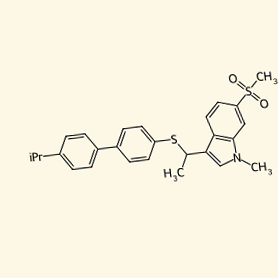 CC(C)c1ccc(-c2ccc(SC(C)c3cn(C)c4cc(S(C)(=O)=O)ccc34)cc2)cc1